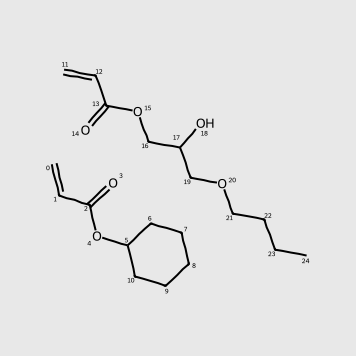 C=CC(=O)OC1CCCCC1.C=CC(=O)OCC(O)COCCCC